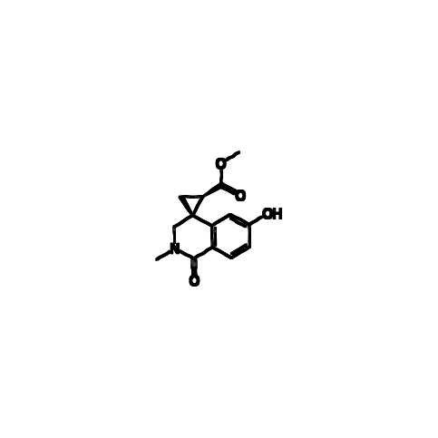 COC(=O)[C@@H]1C[C@@]12CN(C)C(=O)c1ccc(O)cc12